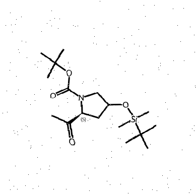 CC(=O)[C@@H]1CC(O[Si](C)(C)C(C)(C)C)CN1C(=O)OC(C)(C)C